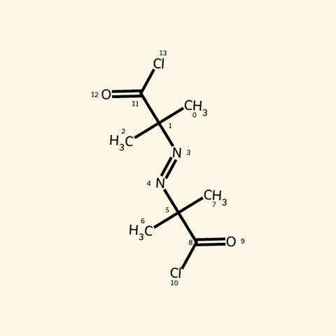 CC(C)(N=NC(C)(C)C(=O)Cl)C(=O)Cl